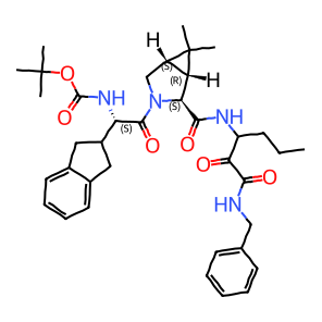 CCCC(NC(=O)[C@@H]1[C@@H]2[C@H](CN1C(=O)[C@@H](NC(=O)OC(C)(C)C)C1Cc3ccccc3C1)C2(C)C)C(=O)C(=O)NCc1ccccc1